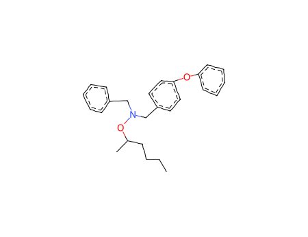 CCCCC(C)ON(Cc1ccccc1)Cc1ccc(Oc2ccccc2)cc1